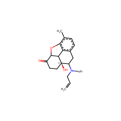 C=CCN(CCC)C1Cc2ccc(C)c3c2C2C(O3)C(=O)CC[C@]21O